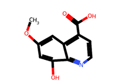 COc1cc(O)c2nccc(C(=O)O)c2c1